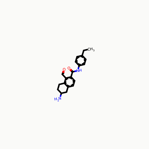 CCc1ccc(NC(=O)c2ccc3c(c2C=O)CCC(N)C3)cc1